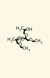 CCOCC(C)O.CCOCC(C)OCC(C)O